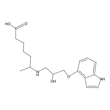 CC(CCCCC(=O)O)NCC(O)COc1cccc2[nH]ccc12